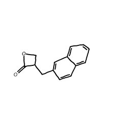 O=C1OCC1Cc1ccc2ccccc2c1